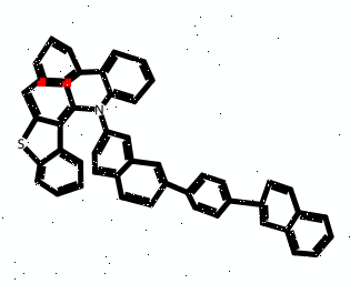 c1ccc(-c2ccccc2N(c2ccc3ccc(-c4ccc(-c5ccc6ccccc6c5)cc4)cc3c2)c2cccc3sc4ccccc4c23)cc1